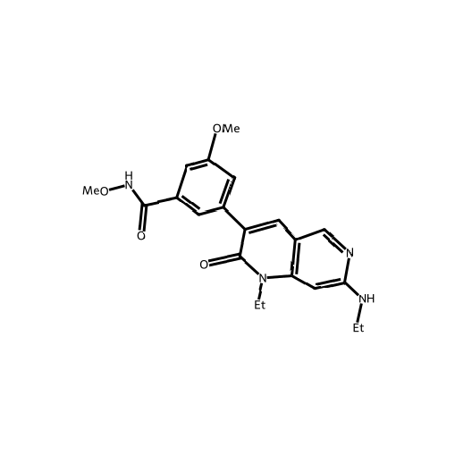 CCNc1cc2c(cn1)cc(-c1cc(OC)cc(C(=O)NOC)c1)c(=O)n2CC